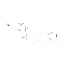 N#CNc1ncnc2c1cnn2[C@@H]1O[C@H]([C@H](O)c2ccc(Cl)cc2)[C@@H](O)[C@H]1O